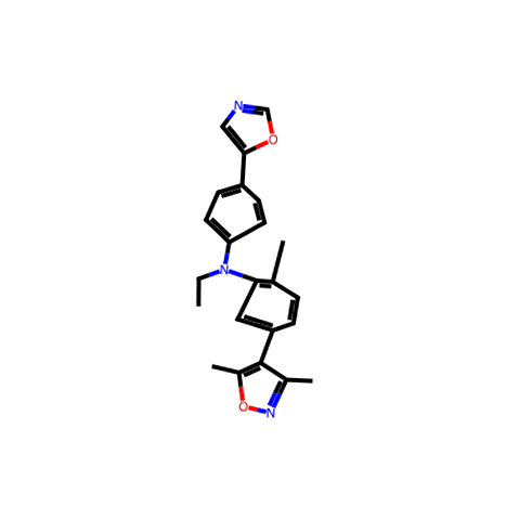 CCN(c1ccc(-c2cnco2)cc1)c1cc(-c2c(C)noc2C)ccc1C